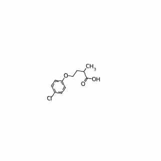 CC(CCOc1ccc(Cl)cc1)C(=O)O